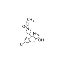 CCOC(=O)N1CCC(=C2c3ccc(Cl)cc3CCc3c(O)ccnc32)CC1